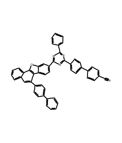 N#Cc1ccc(-c2ccc(-c3nc(-c4ccccc4)nc(-c4ccc5c(c4)oc4c6ccccc6cc(-c6ccc(-c7ccccc7)cc6)c54)n3)cc2)cc1